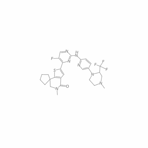 CN1CCN(c2ccc(Nc3ncc(F)c(-c4cc5c(s4)C4(CCCC4)CN(C)C5=O)n3)nc2)C(C(F)(F)F)C1